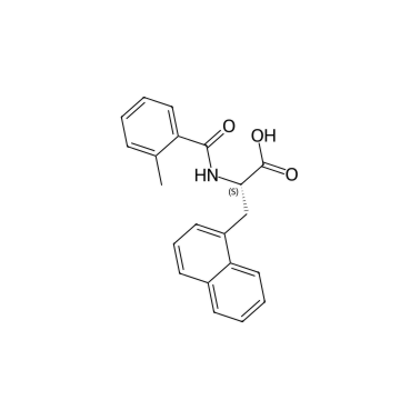 Cc1ccccc1C(=O)N[C@@H](Cc1cccc2ccccc12)C(=O)O